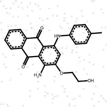 Cc1ccc(Nc2cc(OCCO)c(N)c3c2C(=O)c2ccccc2C3=O)cc1